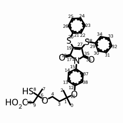 CC(C)(CCOC(C)(S)CC(=O)O)Oc1ccc(N2C(=O)C(Sc3ccccc3)=C(Sc3ccccc3)C2=O)cc1